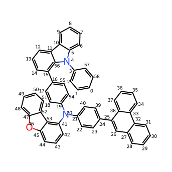 c1ccc(-n2c3ccccc3c3cccc(-c4ccc(N(c5ccc(-c6cc7ccccc7c7ccccc67)cc5)c5cccc6oc7ccccc7c56)cc4)c32)cc1